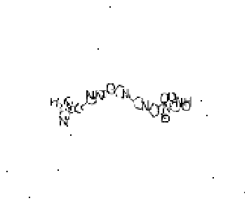 Cn1c2ccncc2c2ccc(-c3ccc(N4CC(OC5CCN(CCC6CCN(c7ccc8c(c7)C(=O)N(C7CCC(=O)NC7=O)C8=O)CC6)CC5)C4)nc3)cc21